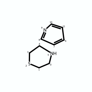 C1CSCCN1.c1ccncc1